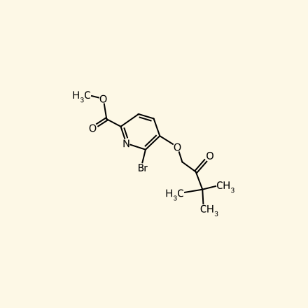 COC(=O)c1ccc(OCC(=O)C(C)(C)C)c(Br)n1